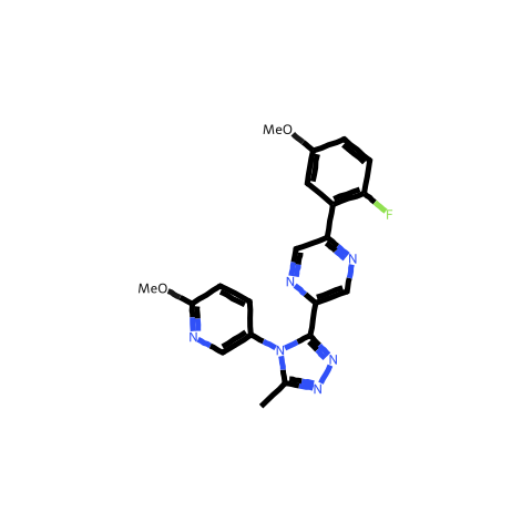 COc1ccc(F)c(-c2cnc(-c3nnc(C)n3-c3ccc(OC)nc3)cn2)c1